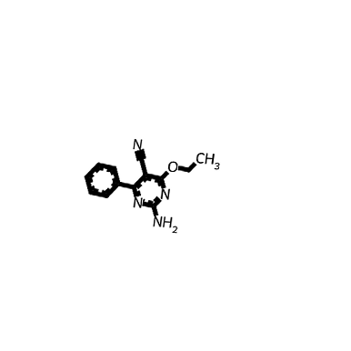 CCOc1nc(N)nc(-c2ccccc2)c1C#N